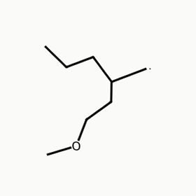 [CH2]C(CCC)CCOC